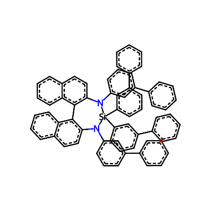 c1ccc(-c2cccc(N3c4ccc5ccccc5c4-c4c(ccc5ccccc45)N(c4cccc(-c5ccccc5)c4)[Si]3(c3cccc(-c4ccccc4)c3)c3cccc(-c4ccccc4)c3)c2)cc1